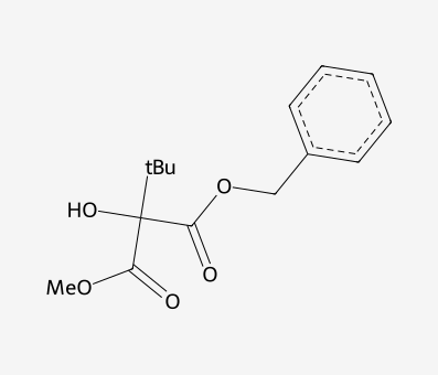 COC(=O)C(O)(C(=O)OCc1ccccc1)C(C)(C)C